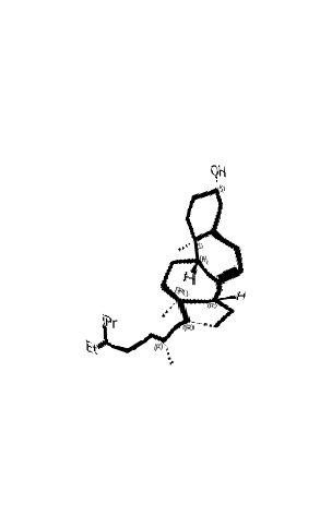 CCC(CC[C@@H](C)[C@H]1CC[C@H]2C3=CCC4C[C@@H](O)CC[C@]4(C)[C@H]3CC[C@]12C)C(C)C